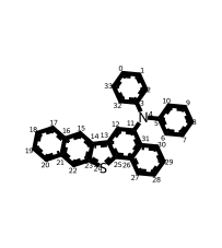 c1ccc(N(c2ccccc2)c2cc3c4cc5ccccc5cc4sc3c3ccccc23)cc1